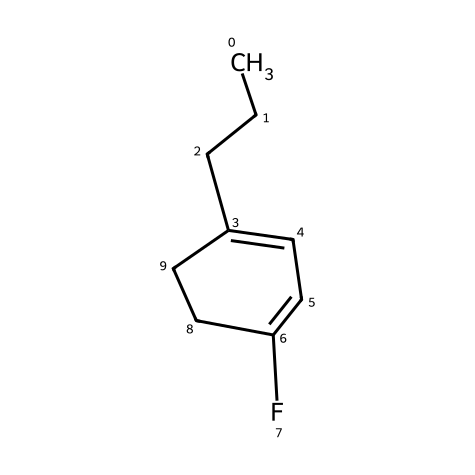 CCCC1=CC=C(F)CC1